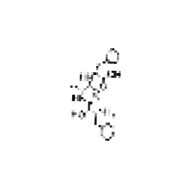 CC(C)C(NC(=O)C(O)C(N)Cc1ccccc1)C(=O)NC(Cc1ccccc1)C(=O)O